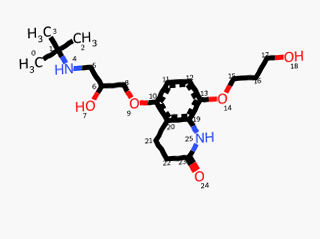 CC(C)(C)NCC(O)COc1ccc(OCCCO)c2c1CCC(=O)N2